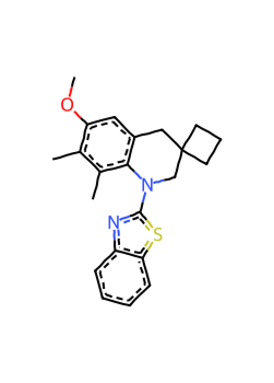 COc1cc2c(c(C)c1C)N(c1nc3ccccc3s1)CC1(CCC1)C2